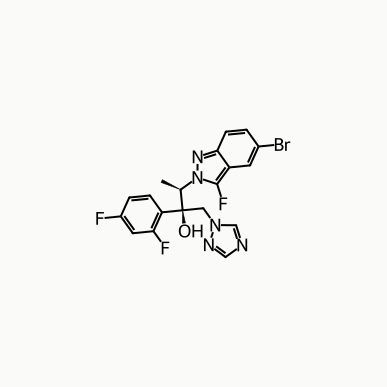 C[C@@H](n1nc2ccc(Br)cc2c1F)[C@](O)(Cn1cncn1)c1ccc(F)cc1F